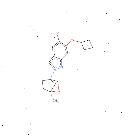 C[C@@]12CC[C@@](n3cc4cc(Br)c(OC5CCC5)cc4n3)(CO1)C2